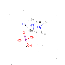 CC(C)(C)NC(C)(C)C.CC(C)(C)NC(C)(C)C.CC(C)(C)NC(C)(C)C.O=P(O)(O)O